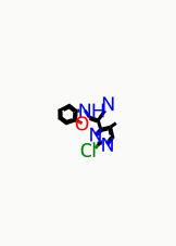 Cc1cnc(Cl)nc1C(C#N)=C1Nc2ccccc2O1